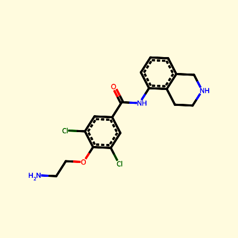 NCCOc1c(Cl)cc(C(=O)Nc2cccc3c2CCNC3)cc1Cl